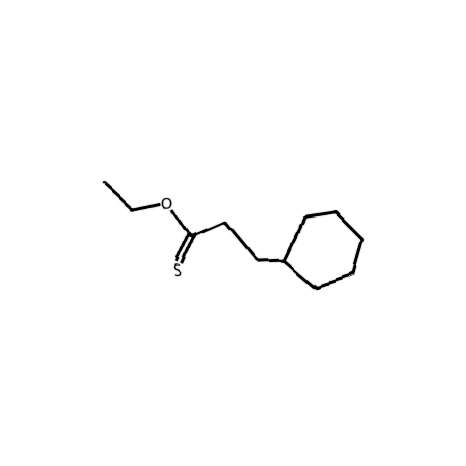 CCOC(=S)CCC1CCCCC1